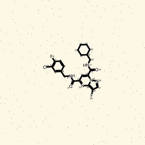 O=C(NCc1ccc(F)c(Cl)c1)c1cc(C(=O)NCC2CCCCC2)n2ncc(F)c2n1